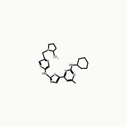 Cc1cc(-c2cnc(Nc3cnc(CN4CCCC4C(F)(F)F)cn3)s2)nc(NC2CCCCC2)n1